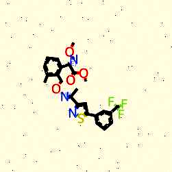 CO/N=C(/C(=O)OC)c1cccc(C)c1CO/N=C(\C)c1cc(-c2cccc(C(F)(F)F)c2)sn1